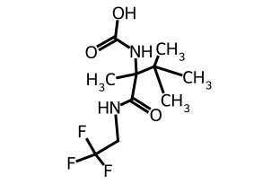 CC(C)(C)C(C)(NC(=O)O)C(=O)NCC(F)(F)F